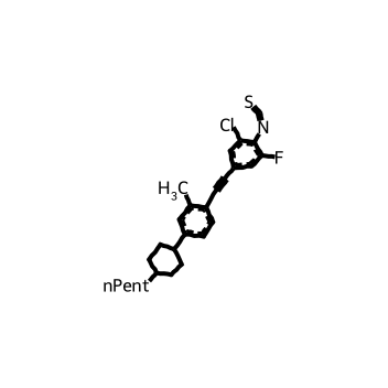 CCCCCC1CCC(c2ccc(C#Cc3cc(F)c(N=C=S)c(Cl)c3)c(C)c2)CC1